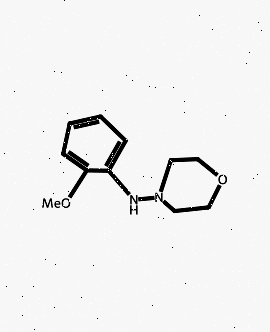 COc1ccccc1NN1CCOCC1